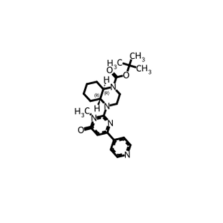 Cn1c(N2CCN(C(=O)OC(C)(C)C)[C@@H]3CCCC[C@H]32)nc(-c2ccncc2)cc1=O